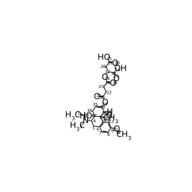 CCN(C)[C@@H]1Cc2ccc(OC)c3c2[C@@]2(C)[C@@H](O3)C(OC(=O)CCC(=O)O[C@@H](CC(=O)O)C(=O)O)=CC[C@@]12O